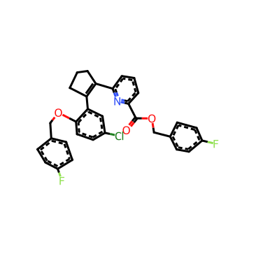 O=C(OCc1ccc(F)cc1)c1cccc(C2=C(c3cc(Cl)ccc3OCc3ccc(F)cc3)CCC2)n1